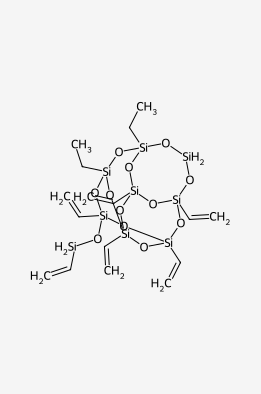 C=C[SiH2]O[Si]1(C=C)O[Si]2(C=C)O[Si]3(C=C)O[SiH2]O[Si]4(CC)O[Si](C=C)(O3)O[Si](C=C)(O2)O[Si](CC)(O1)O4